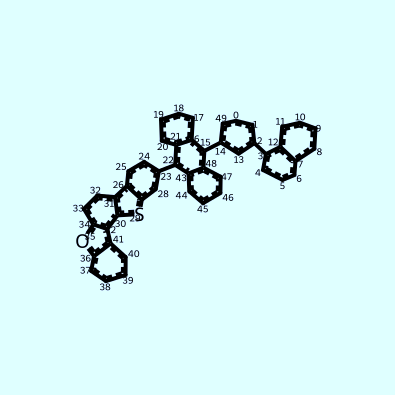 c1cc(-c2cccc3ccccc23)cc(-c2c3ccccc3c(-c3ccc4c(c3)sc3c4ccc4oc5ccccc5c43)c3ccccc23)c1